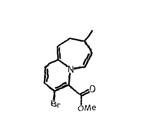 COC(=O)C1=C(Br)C=CC2=CCC(C)C=CN21